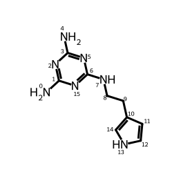 Nc1nc(N)nc(NCCc2cc[nH]c2)n1